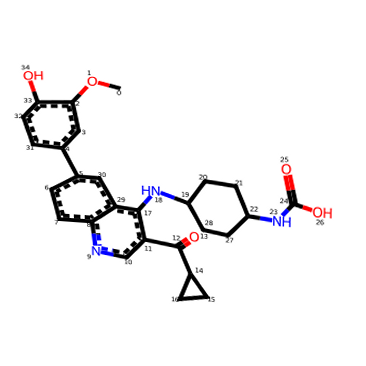 COc1cc(-c2ccc3ncc(C(=O)C4CC4)c(NC4CCC(NC(=O)O)CC4)c3c2)ccc1O